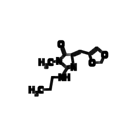 CCCNC1=NC(=CC2=COCO2)C(=O)N1C